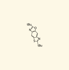 CC(C)(C)c1nc2cc3sc(C(C)(C)C)nc3cc2o1